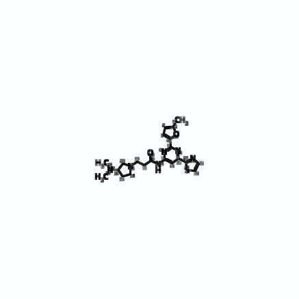 Cc1ccc(-c2nc(NC(=O)CCN3CCC(N(C)C)C3)cc(-c3nccs3)n2)o1